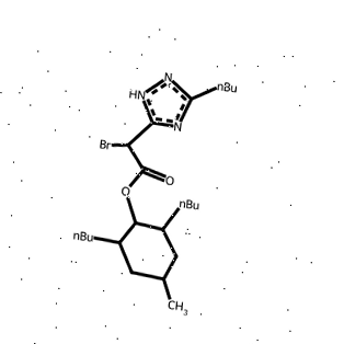 CCCCc1n[nH]c(C(Br)C(=O)OC2C(CCCC)CC(C)CC2CCCC)n1